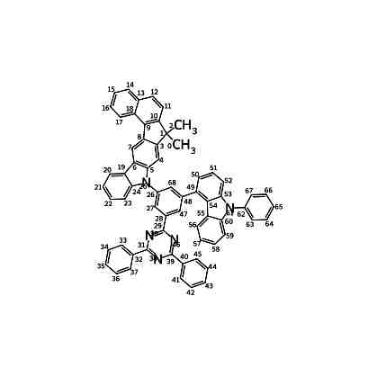 CC1(C)c2cc3c(cc2-c2c1ccc1ccccc21)c1ccccc1n3-c1cc(-c2nc(-c3ccccc3)nc(-c3ccccc3)n2)cc(-c2cccc3c2c2ccccc2n3-c2ccccc2)c1